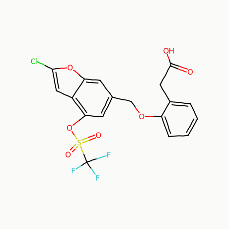 O=C(O)Cc1ccccc1OCc1cc(OS(=O)(=O)C(F)(F)F)c2cc(Cl)oc2c1